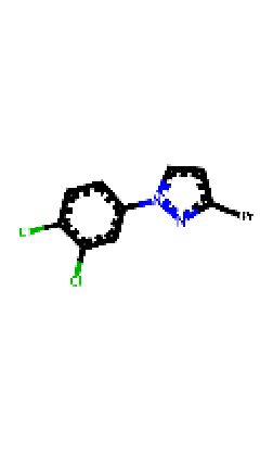 CC(C)c1ccn(-c2ccc(Cl)c(Cl)c2)n1